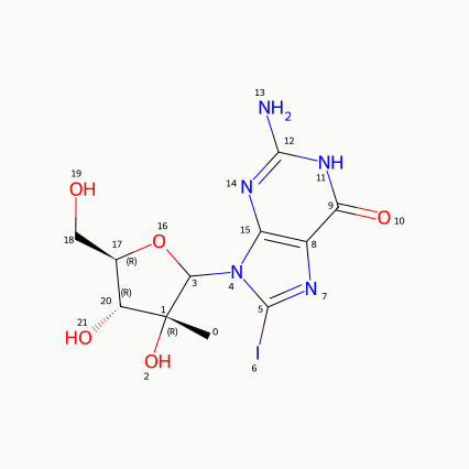 C[C@]1(O)C(n2c(I)nc3c(=O)[nH]c(N)nc32)O[C@H](CO)[C@H]1O